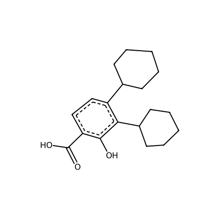 O=C(O)c1ccc(C2CCCCC2)c(C2CCCCC2)c1O